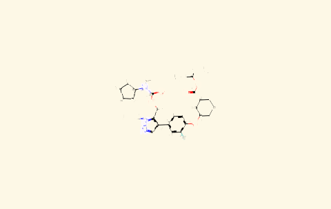 CC(C)OC(=O)[C@H]1CCCC(Oc2ccc(-c3cnn(C)c3COC(=O)N(C)C3CCCC3)cc2F)C1